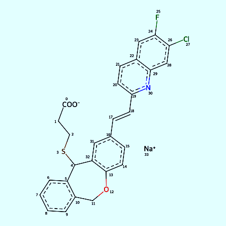 O=C([O-])CCSC1c2ccccc2COc2ccc(C=Cc3ccc4cc(F)c(Cl)cc4n3)cc21.[Na+]